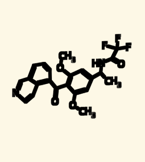 COc1cc(C(C)NC(=O)C(F)(F)F)cc(OC)c1C(=O)c1cccc2cnccc12